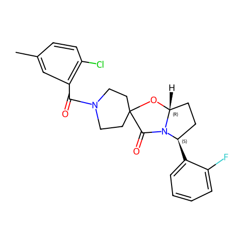 Cc1ccc(Cl)c(C(=O)N2CCC3(CC2)O[C@@H]2CC[C@@H](c4ccccc4F)N2C3=O)c1